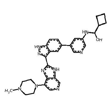 CN1CCN(c2cncc3[nH]c(-c4n[nH]c5ccc(-c6cncc(NC(O)C7CCC7)c6)cc45)nc23)CC1